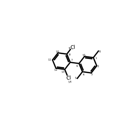 Cc1ccc(C)c(-c2c(Cl)cccc2Cl)c1